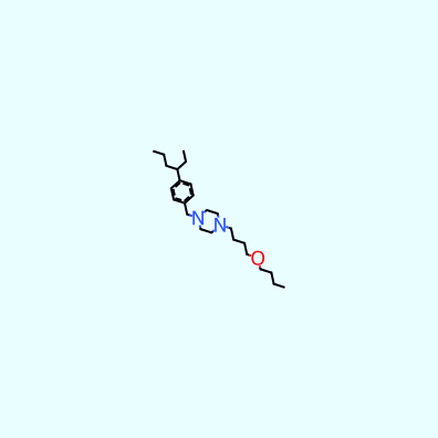 CCCCOCCCCN1CCN(Cc2ccc(C(CC)CCC)cc2)CC1